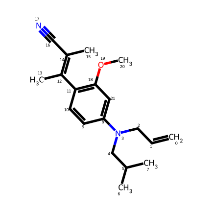 C=CCN(CC(C)C)c1ccc(/C(C)=C(\C)C#N)c(OC)c1